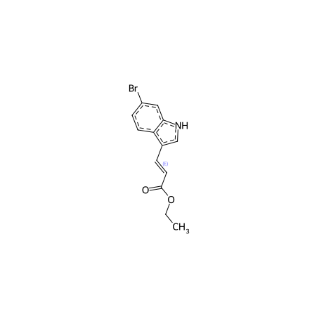 CCOC(=O)/C=C/c1c[nH]c2cc(Br)ccc12